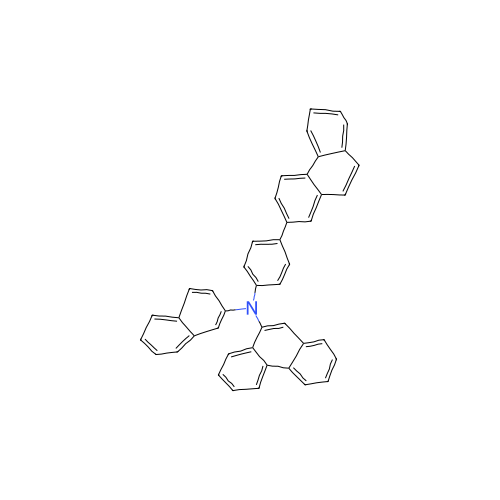 c1ccc2cc(N(c3ccc(-c4ccc5c(ccc6ccccc65)c4)cc3)c3cc4ccccc4c4ccccc34)ccc2c1